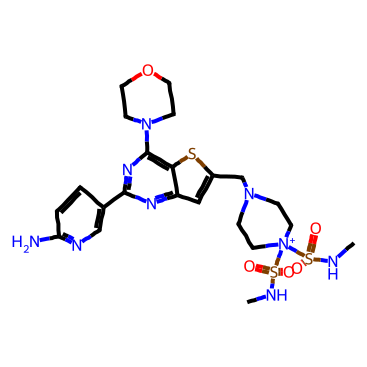 CNS(=O)(=O)[N+]1(S(=O)(=O)NC)CCN(Cc2cc3nc(-c4ccc(N)nc4)nc(N4CCOCC4)c3s2)CC1